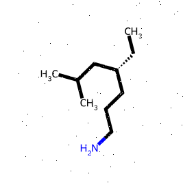 CC[C@H](CCCN)CC(C)C